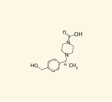 C[C@H](c1ccc(CO)cc1)N1CCN(C(=O)O)CC1